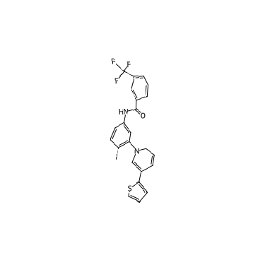 Cc1ccc(NC(=O)c2cccc(C(F)(F)F)c2)cc1N1C=C(c2cccs2)C=CC1